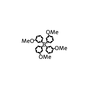 COc1cccc([B-](c2cccc(OC)c2)(c2cccc(OC)c2)c2cccc(OC)c2)c1